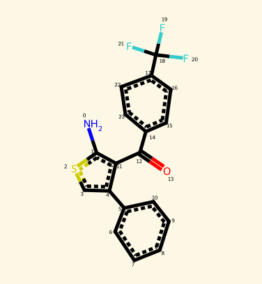 Nc1scc(-c2ccccc2)c1C(=O)c1ccc(C(F)(F)F)cc1